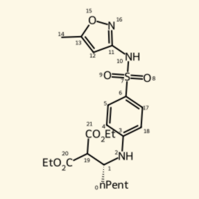 CCCCC[C@@H](Nc1ccc(S(=O)(=O)Nc2cc(C)on2)cc1)C(C(=O)OCC)C(=O)OCC